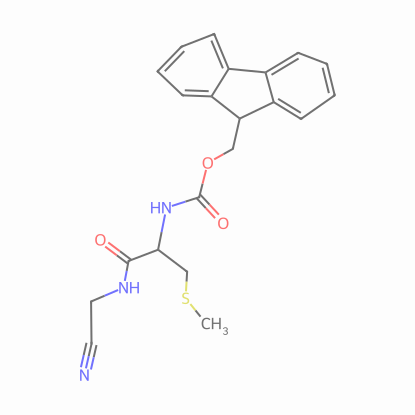 CSCC(NC(=O)OCC1c2ccccc2-c2ccccc21)C(=O)NCC#N